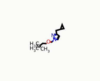 C[Si](C)(C)CCOCn1ccc(CC2CC2)n1